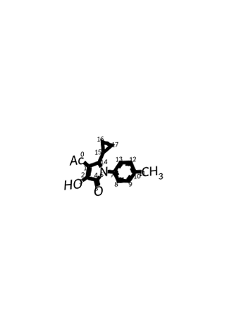 CC(=O)C1=C(O)C(=O)N(c2ccc(C)cc2)C1C1CC1